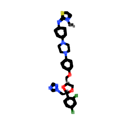 Cn1ccsc1=Nc1ccc(N2CCN(c3ccc(OC[C@@H]4CO[C@@](Cn5cncn5)(c5ccc(Cl)cc5Cl)O4)cc3)CC2)cc1